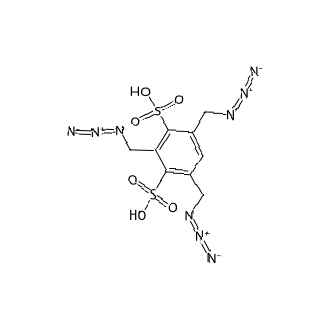 [N-]=[N+]=NCc1cc(CN=[N+]=[N-])c(S(=O)(=O)O)c(CN=[N+]=[N-])c1S(=O)(=O)O